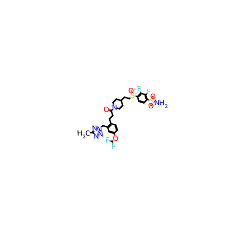 Cc1nnn(Cc2cc(OC(F)F)ccc2CCC(=O)N2CCC(CC[S+]([O-])c3ccc(S(N)(=O)=O)c(F)c3F)CC2)n1